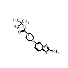 CC(C)(C)OC(=O)N1CCN(c2ccc3nc(N)nn3c2)CC1